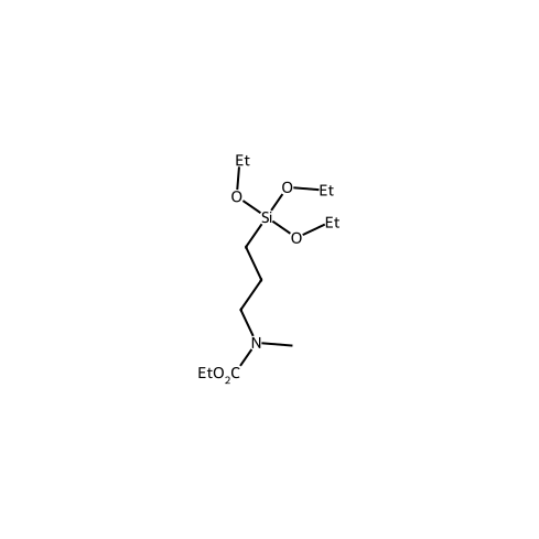 CCOC(=O)N(C)CCC[Si](OCC)(OCC)OCC